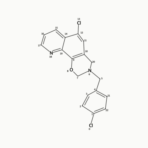 Clc1ccc(CN2COc3c(cc(Cl)c4cccnc34)C2)cc1